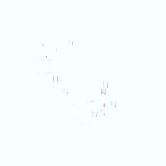 CC(C)(C)OC(=O)NCC(=O)N1CCN(CCOc2cccc(N3C4CCC3CN(c3cc(-c5ccccc5O)nnc3N)C4)c2)CC1